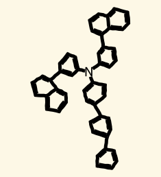 c1ccc(-c2ccc(-c3ccc(N(c4cccc(-c5cccc6ccccc56)c4)c4cccc(-c5cccc6ccccc56)c4)cc3)cc2)cc1